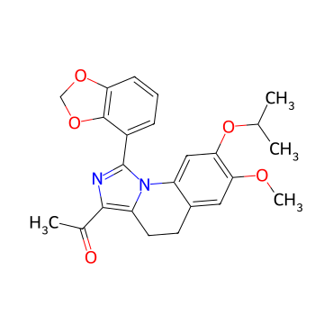 COc1cc2c(cc1OC(C)C)-n1c(-c3cccc4c3OCO4)nc(C(C)=O)c1CC2